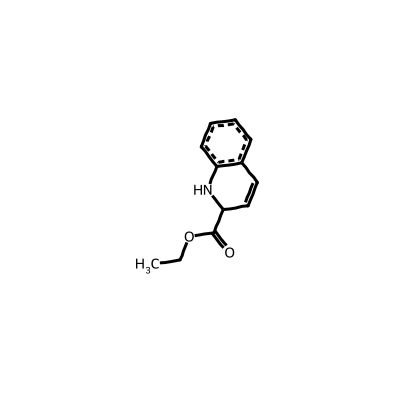 CCOC(=O)C1C=Cc2ccccc2N1